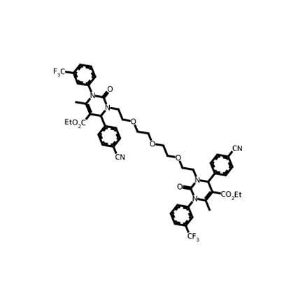 CCOC(=O)C1=C(C)N(c2cccc(C(F)(F)F)c2)C(=O)N(CCOCCOCCOCCN2C(=O)N(c3cccc(C(F)(F)F)c3)C(C)=C(C(=O)OCC)C2c2ccc(C#N)cc2)C1c1ccc(C#N)cc1